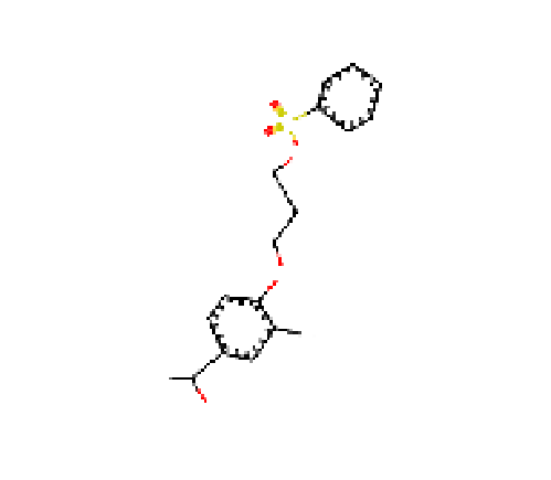 COc1cc(C(C)O)ccc1OCCCOS(=O)(=O)c1ccccc1